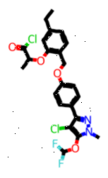 CCc1ccc(COc2ccc(-c3nn(C)c(OC(F)F)c3Cl)cc2)c(OC(C)C(=O)Cl)c1